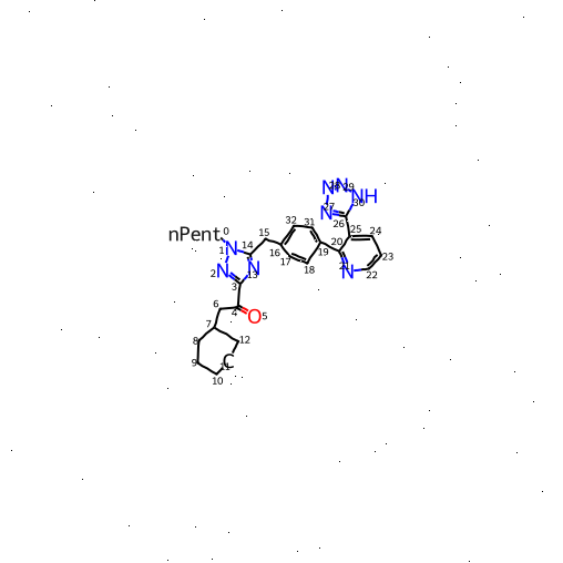 CCCCCn1nc(C(=O)CC2CCCCC2)nc1Cc1ccc(-c2ncccc2-c2nnn[nH]2)cc1